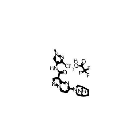 Cn1cc(NC(=O)c2cnn3ccc(N4CC5CCC(C4)N5)nc23)c(C(F)(F)F)n1.O=C(O)C(F)(F)F